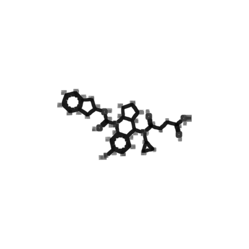 O=C(O)CCC(=O)N(C1CC1)C1c2ccc(F)cc2N(C(=O)OC2Cc3ccccc3C2)C2CCCC21